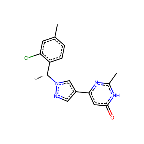 Cc1ccc([C@@H](C)n2cc(-c3cc(=O)[nH]c(C)n3)cn2)c(Cl)c1